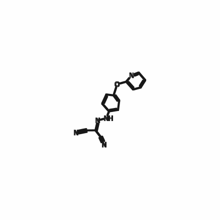 N#CC(C#N)=NNc1ccc(Oc2ccccn2)cc1